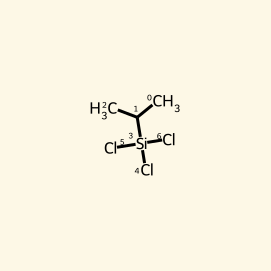 CC(C)[Si](Cl)(Cl)Cl